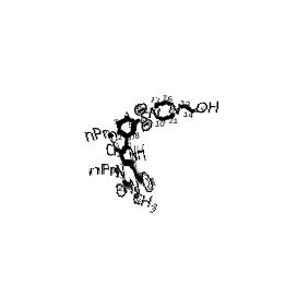 CCCOc1ccc(S(=O)(=O)N2CCN(CCO)CC2)cc1-c1[nH]c2c(=O)n(C)c(=O)n(CCC)c2c1Cl